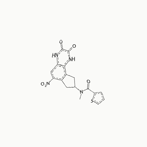 CN(C(=O)c1cccs1)C1Cc2c([N+](=O)[O-])cc3[nH]c(=O)c(=O)[nH]c3c2C1